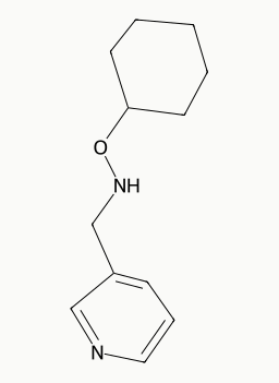 c1cncc(CNOC2CCCCC2)c1